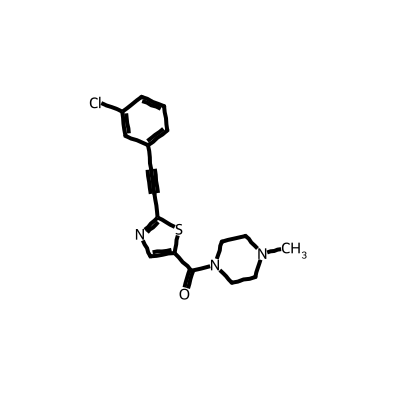 CN1CCN(C(=O)c2cnc(C#Cc3cccc(Cl)c3)s2)CC1